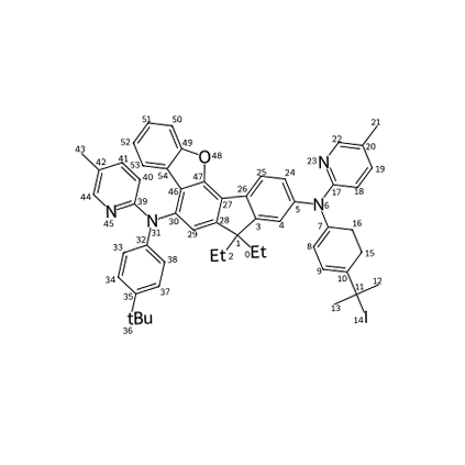 CCC1(CC)c2cc(N(C3=CC=C(C(C)(C)I)CC3)c3ccc(C)cn3)ccc2-c2c1cc(N(c1ccc(C(C)(C)C)cc1)c1ccc(C)cn1)c1c2oc2ccccc21